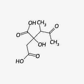 CC(=O)C(C)C(O)(CC(=O)O)C(=O)O